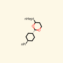 CCCCCCCC1CCOC([C@H]2CC[C@H](CCC)CC2)O1